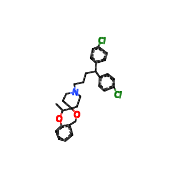 CC1Oc2ccccc2COC12CCN(CCCC(c1ccc(Cl)cc1)c1ccc(Cl)cc1)CC2